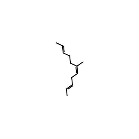 CC=CCC=C(C)CCC=CC